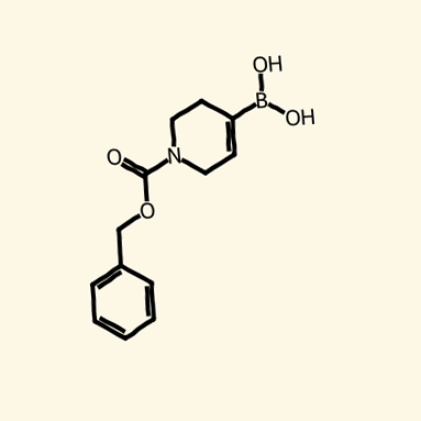 O=C(OCc1ccccc1)N1CC=C(B(O)O)CC1